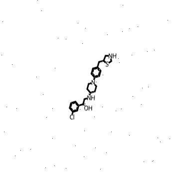 O[C@@H](CNC1CCN(c2ccc(CC3CNCS3)cc2)CC1)c1cccc(Cl)c1